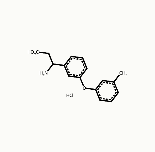 Cc1cccc(Oc2cccc(C(N)CC(=O)O)c2)c1.Cl